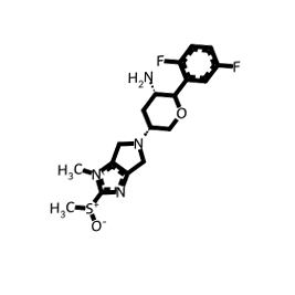 Cn1c([S+](C)[O-])nc2c1CN([C@H]1COC(c3cc(F)ccc3F)[C@@H](N)C1)C2